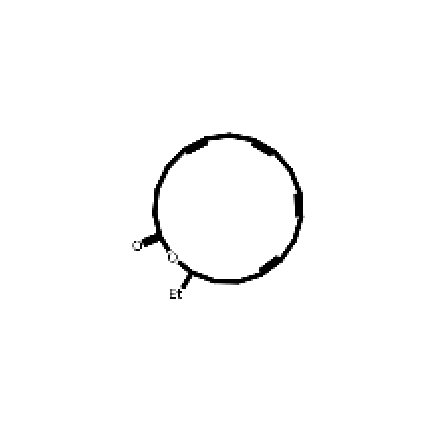 CCC1CC/C=C\C/C=C\C/C=C\C/C=C\CCCC(=O)O1